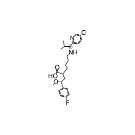 COC(CC(CCCCN[C@@H](c1ccc(Cl)cn1)C(C)C)C(=O)O)c1ccc(F)cc1